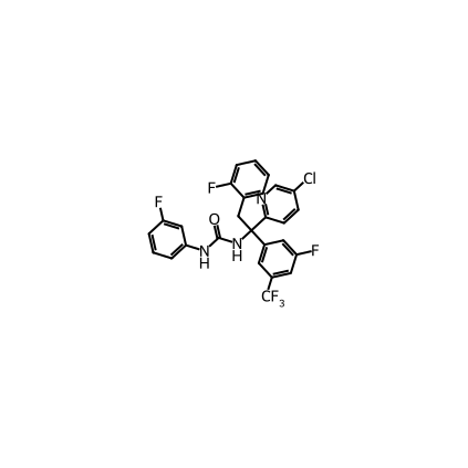 O=C(Nc1cccc(F)c1)NC(Cc1ccccc1F)(c1cc(F)cc(C(F)(F)F)c1)c1ccc(Cl)cn1